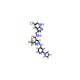 O=C(NCc1cnc2[nH]cc(Cl)cc1-2)c1cn(Cc2ccnc(N3CCCC3)c2)nc1C(F)(F)F